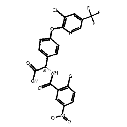 O=C(N[C@H](C(=O)O)c1ccc(Oc2ncc(C(F)(F)F)cc2Cl)cc1)c1cc([N+](=O)[O-])ccc1Cl